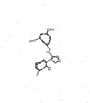 COc1cc(CNc2nnnn2-c2cccc(Cl)c2Cl)cc(OC)c1